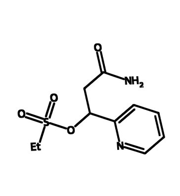 CCS(=O)(=O)OC(CC(N)=O)c1ccccn1